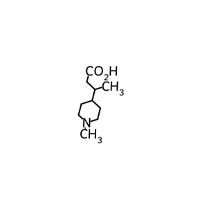 CC(CC(=O)O)C1CCN(C)CC1